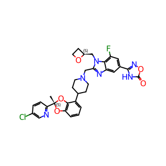 C[C@]1(c2ccc(Cl)cn2)Oc2cccc(C3CCN(Cc4nc5cc(-c6noc(=O)[nH]6)cc(F)c5n4C[C@@H]4CCO4)CC3)c2O1